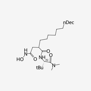 CCCCCCCCCCCCCCCCC(CC(=O)NO)C(=O)N[C@H](C(=O)N(C)C)C(C)(C)C